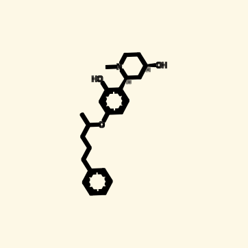 CC(CCCc1ccccc1)Oc1ccc([C@@H]2C[C@H](O)CCN2C)c(O)c1